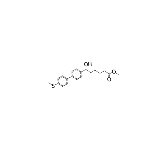 COC(=O)CCCCC(O)c1ccc(-c2ccc(SC)cc2)cc1